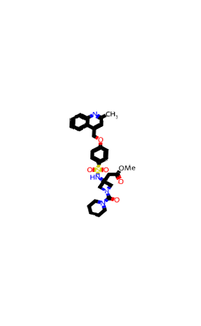 COC(=O)CC1(NS(=O)(=O)c2ccc(OCc3cc(C)nc4ccccc34)cc2)CN(C(=O)N2CCCCC2)C1